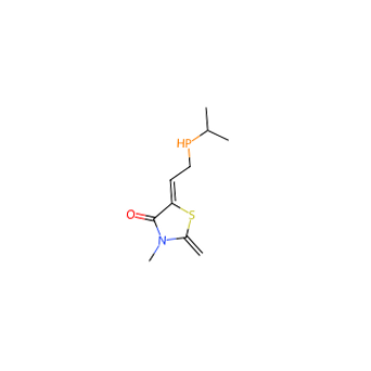 C=c1s/c(=C\CPC(C)C)c(=O)n1C